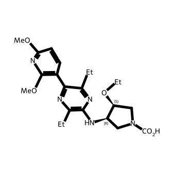 CCO[C@H]1CN(C(=O)O)C[C@H]1Nc1nc(CC)c(-c2ccc(OC)nc2OC)nc1CC